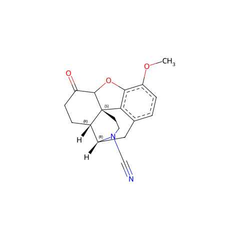 COc1ccc2c3c1OC1C(=O)CC[C@H]4[C@@H](C2)N(C#N)CC[C@]314